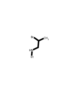 CCNCC(C)Br